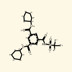 O=C(NS(=O)(=O)C(F)(F)F)c1cc(C(=O)OC2CCCCC2)cc(C(=O)OC2CCCCC2)c1